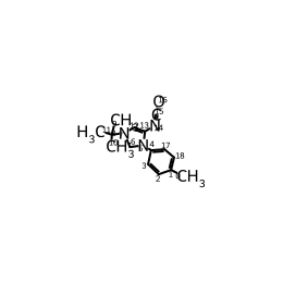 Cc1ccc(N2[CH]N(C(C)(C)C)C=C2N=C=O)cc1